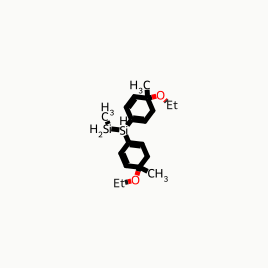 CCOC1(C)C=CC([SiH]([SiH2]C)C2=CCC(C)(OCC)C=C2)=CC1